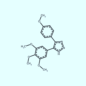 COc1[c]cc(-c2nn[nH]c2-c2cc(OC)c(OC)c(OC)c2)cc1